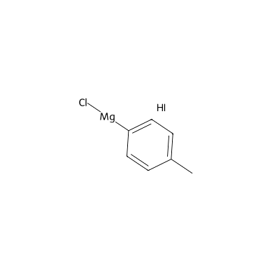 Cc1cc[c]([Mg][Cl])cc1.I